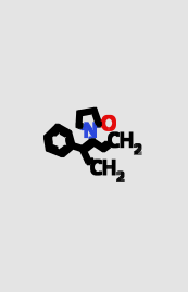 C=CC(=C(C=C)N1CCCC1=O)c1ccccc1